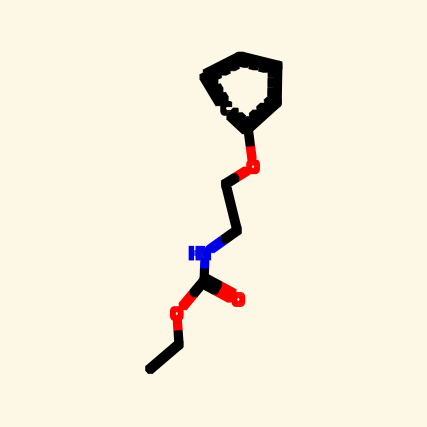 CCOC(=O)NCCOc1ccccc1